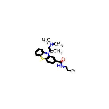 CC(C)CCNC(=O)c1ccc2c(c1)N([C@H](C)CN(C)C)c1ccccc1S2